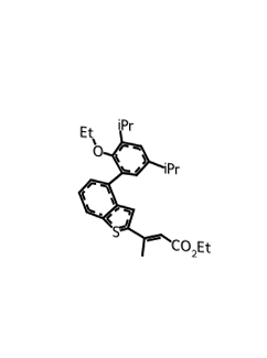 CCOC(=O)C=C(C)c1cc2c(-c3cc(C(C)C)cc(C(C)C)c3OCC)cccc2s1